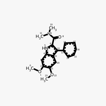 COc1cc2[nH]c(C(=O)N(C)C)c(-c3ccccc3)c2cc1OC